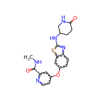 CNC(=O)c1cc(Oc2ccc3nc(NC4CCC(=O)NC4)sc3c2)ccn1